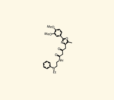 CCN(CCNC(=O)CC(=O)Cc1nc(-c2ccc(OC)c(OC)c2)oc1C)c1ccccc1